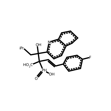 CC(C)CC(O)(c1ccc2ccccc2n1)C(C=Cc1ccc(F)cc1)(C(=O)O)[PH](=O)O